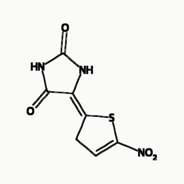 O=C1NC(=O)/C(=C2\CC=C([N+](=O)[O-])S2)N1